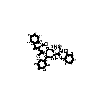 Cc1ccccc1N/C(=N/C#N)N1CCN(C(=O)c2cc3ccccc3n2C)C(c2ccccc2)C1